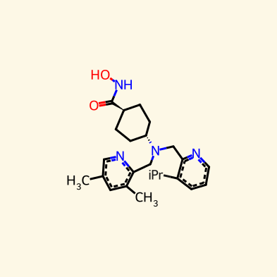 Cc1cnc(CN(Cc2ncccc2C(C)C)[C@H]2CC[C@H](C(=O)NO)CC2)c(C)c1